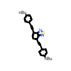 CCCCc1ccc(C#Cc2ccc(C#Cc3ccc(CCCC)cc3)c3nsnc23)cc1